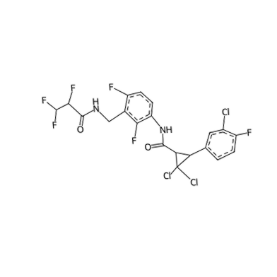 O=C(NCc1c(F)ccc(NC(=O)C2C(c3ccc(F)c(Cl)c3)C2(Cl)Cl)c1F)C(F)C(F)F